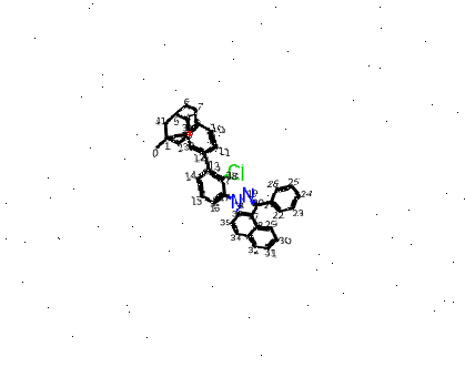 CC12CC3CC(CC(C3)c3ccc(-c4cccc(-n5nc(-c6ccccc6)c6c7ccccc7ccc65)c4Cl)cc31)C2